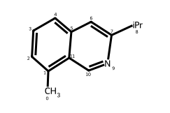 Cc1cccc2cc(C(C)C)ncc12